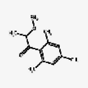 Cc1cc(C)c(C(=O)C(C)OP)c(C)c1